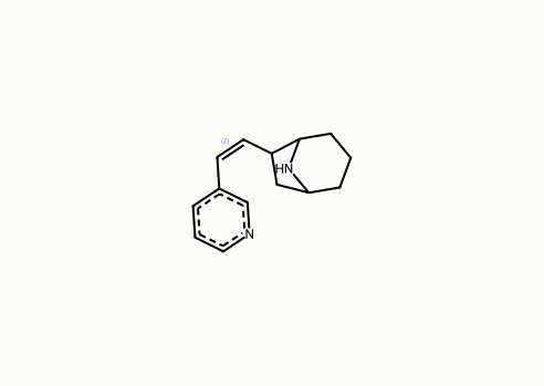 C(=C/C1CC2CCCC1N2)/c1cccnc1